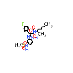 CCCCCC(C)N1C(=O)OC(Cc2ccc(F)cc2)(c2nc3cc(NS(C)(=O)=O)ccc3[nH]2)C1=O